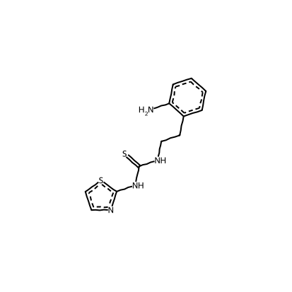 Nc1ccccc1CCNC(=S)Nc1nccs1